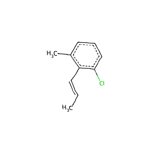 C/C=C/c1c(C)cccc1Cl